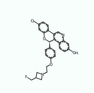 Oc1ccc2c3c(cnc2c1)-c1ccc(Cl)cc1O[C@@H]3c1ccc(OCCN2CC(CF)C2)cc1